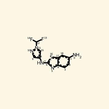 Nc1ccc2nc(Nc3cnn(C(F)F)c3)sc2c1